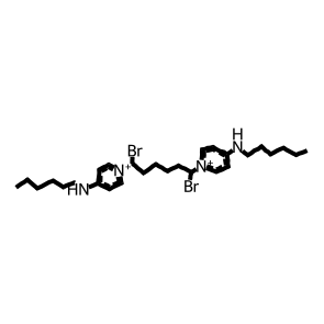 CCCCCCNc1cc[n+](C(Br)CCCCC(Br)[n+]2ccc(NCCCCCC)cc2)cc1